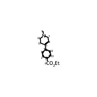 CCOC(=O)c1ccc(C2=CCN(C)CC2)cc1